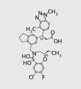 CC[C@@H]1CN(Cc2cc([C@H](CC(=O)O)c3ccc4c(nnn4C)c3C)cc3c2CCC3)S(O)(O)c2cc(Cl)c(F)cc2O1